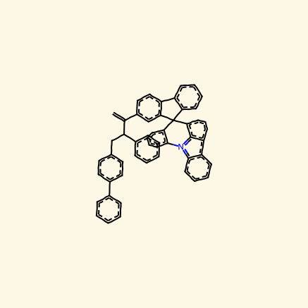 C=C(c1ccc2c(c1)C1(c3ccccc3-2)c2ccccc2-n2c3ccccc3c3cccc1c32)C(Cc1ccc(-c2ccccc2)cc1)c1ccccc1